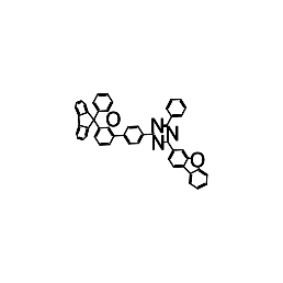 c1ccc(-c2nc(-c3ccc(-c4cccc5c4Oc4ccccc4C54c5ccccc5-c5ccccc54)cc3)nc(-c3ccc4c(c3)oc3ccccc34)n2)cc1